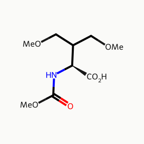 COCC(COC)[C@H](NC(=O)OC)C(=O)O